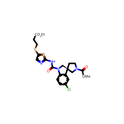 CCOC(=O)CCSc1cnc(NC(=O)N2C[C@]3(CCN(C(=O)OC)C3)c3cc(Cl)ccc32)s1